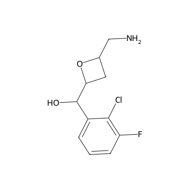 NCC1CC(C(O)c2cccc(F)c2Cl)O1